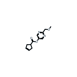 COCc1ncc(OC(=O)C2CC=CC2)cn1